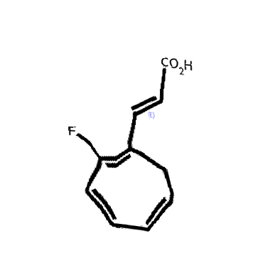 O=C(O)/C=C/C1=C(F)C=CC=CC1